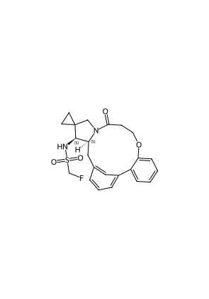 O=C1CCOc2ccccc2-c2cccc(c2)C[C@H]2[C@@H](NS(=O)(=O)CF)C3(CC3)CN12